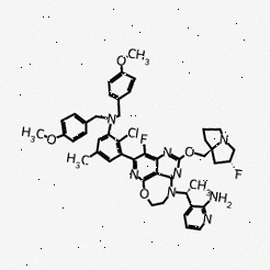 COc1ccc(CN(Cc2ccc(OC)cc2)c2cc(C)cc(-c3nc4c5c(nc(OC[C@@]67CCCN6C[C@H](F)C7)nc5c3F)N([C@H](C)c3cccnc3N)CCO4)c2Cl)cc1